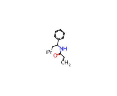 C=CC(=O)NC(CC(C)C)c1ccccc1